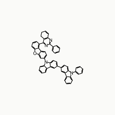 C1=Cc2nc(-c3ccccc3)nc(-c3cccc4oc5cc(-n6c7ccccc7c7cc(-c8ccc9c(c8)c8ccccc8n9-c8ccccc8)ccc76)ccc5c34)c2CC1